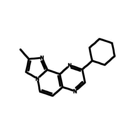 Cc1cn2ccc3ncc(C4CCCCC4)nc3c2n1